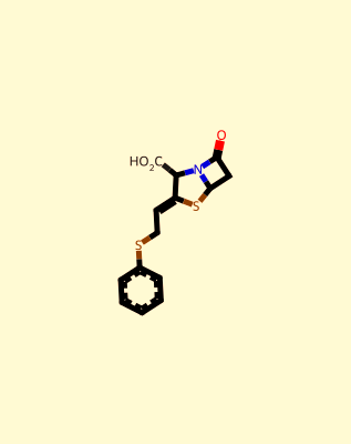 O=C(O)C1/C(=C/CSc2ccccc2)SC2CC(=O)N21